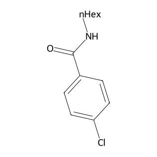 [CH2]CCCCCNC(=O)c1ccc(Cl)cc1